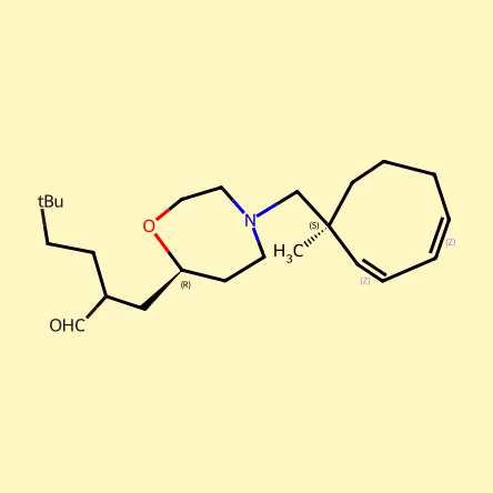 CC(C)(C)CCC(C=O)C[C@@H]1CCN(C[C@]2(C)/C=C\C=C/CCC2)CCO1